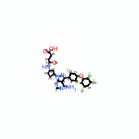 Nc1ncnc2c1c(-c1ccc(Oc3c(F)c(F)cc(F)c3F)cc1F)nn2[C@H]1CC[C@H](NC(=O)/C=C/C(=O)O)C1